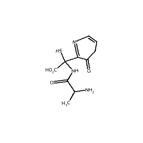 CC(N)C(=O)NC(S)(C(=O)O)C1=NC=CCC1=O